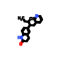 CCC(C)C(Cc1cccnc1)c1ccc2c(c1)CCC(=O)N2